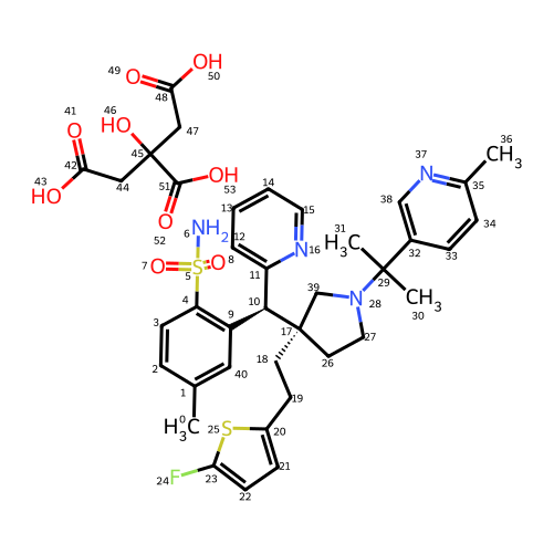 Cc1ccc(S(N)(=O)=O)c([C@@H](c2ccccn2)[C@]2(CCc3ccc(F)s3)CCN(C(C)(C)c3ccc(C)nc3)C2)c1.O=C(O)CC(O)(CC(=O)O)C(=O)O